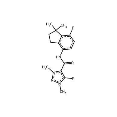 Cc1nn(C)c(F)c1C(=O)Nc1ccc(F)c2c1CCC2(C)C